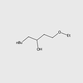 CCCCCC(O)CCOCC